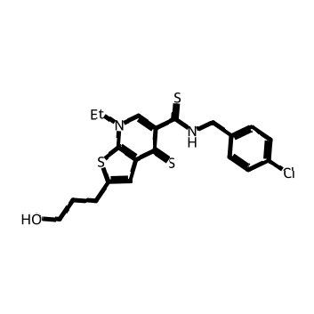 CCn1cc(C(=S)NCc2ccc(Cl)cc2)c(=S)c2cc(CCCO)sc21